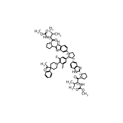 COC(=O)N[C@H](C(=O)N1CCCC1c1nc2cc([C@H]3CC[C@H](c4ccc5[nH]c([C@@H]6CCCN6C(=O)[C@@H](NC(=O)OC)C(C)C)nc5c4)N3c3cc(F)c(N4CCC(C(C)=O)(c5ccccc5)CC4)c(F)c3)ccc2[nH]1)C(C)C